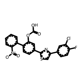 O=C(O)Oc1cc(-c2nc(-c3ccc(F)c(Cl)c3)cs2)ccc1-c1ccccc1[N+](=O)[O-]